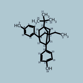 CCC12CC3(c4ccc(O)cc4)CC(c4ccc(O)cc4)(C1)CC(C(C)(C)C)(C2)C3